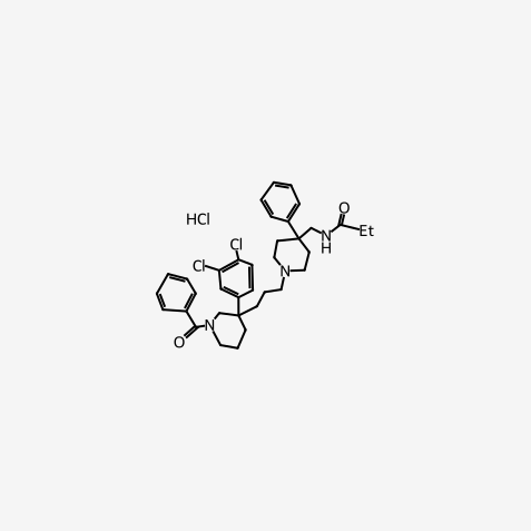 CCC(=O)NCC1(c2ccccc2)CCN(CCCC2(c3ccc(Cl)c(Cl)c3)CCCN(C(=O)c3ccccc3)C2)CC1.Cl